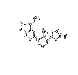 CCOc1cc(-c2cncc(C3COB(O)C3)c2C)ccc1OC